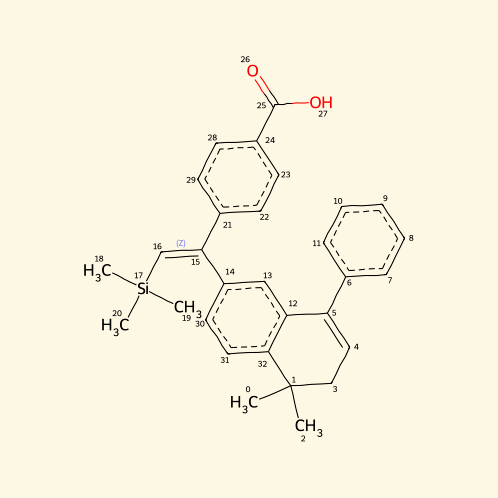 CC1(C)CC=C(c2ccccc2)c2cc(/C(=C\[Si](C)(C)C)c3ccc(C(=O)O)cc3)ccc21